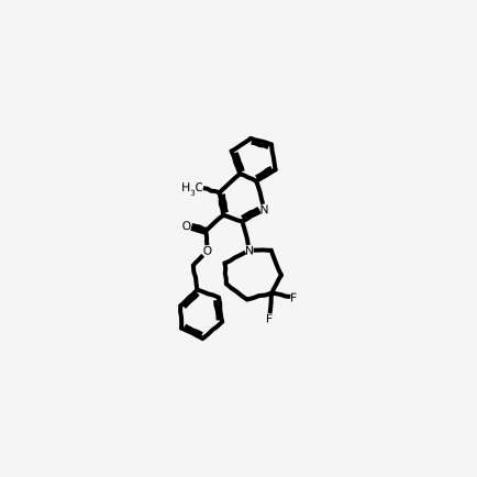 Cc1c(C(=O)OCc2ccccc2)c(N2CCCC(F)(F)CC2)nc2ccccc12